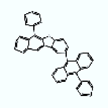 c1ccc(-c2c3ccccc3c(-c3ccc4oc5c(-c6ccccc6)c6ccccc6cc5c4c3)c3ccccc23)cc1